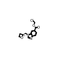 O=C(OCCl)c1ccc2ncn(C[C@@H]3CCO3)c2c1